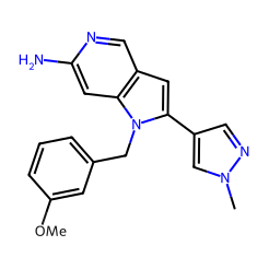 COc1cccc(Cn2c(-c3cnn(C)c3)cc3cnc(N)cc32)c1